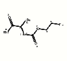 CC(C)(C)C(=O)C(NC(=O)OCCF)C(C)(C)C